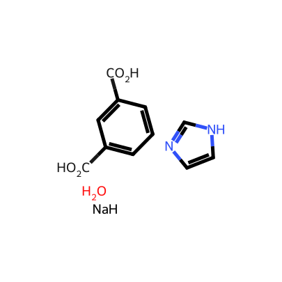 O.O=C(O)c1cccc(C(=O)O)c1.[NaH].c1c[nH]cn1